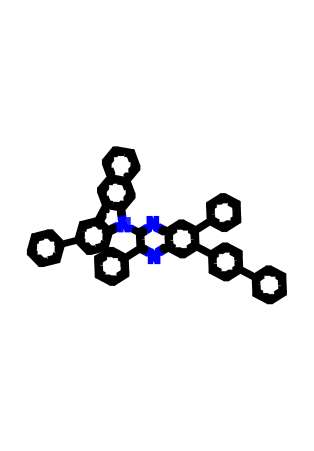 c1ccc(-c2ccc(-c3cc4nc(-c5ccccc5)c(-n5c6ccc(-c7ccccc7)cc6c6cc7ccccc7cc65)nc4cc3-c3ccccc3)cc2)cc1